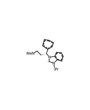 CNCC[C@H](c1ccccc1)N1[CH]N(C(C)C)c2ccccc21